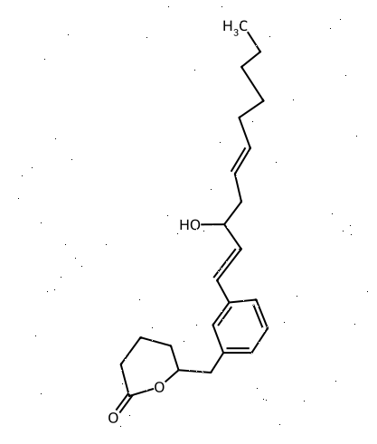 CCCCC/C=C/CC(O)/C=C/c1cccc(CC2CCCC(=O)O2)c1